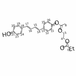 CCC(=O)OCCOC(C)Oc1ccc(C=CC=Cc2ccc(O)cc2)cc1